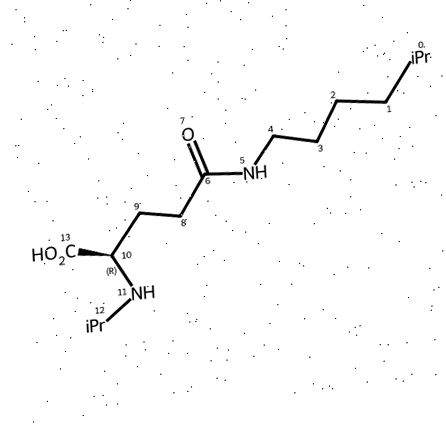 CC(C)CCCCNC(=O)CC[C@@H](NC(C)C)C(=O)O